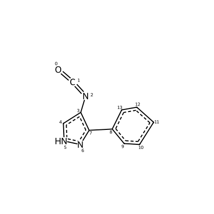 O=C=Nc1c[nH]nc1-c1ccccc1